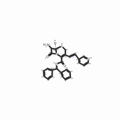 NC1C(=O)N2C(C(=O)OC(c3ccccc3)c3ccccc3)=C(/C=C/c3cccnc3)CS[C@H]12